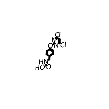 O=C(O)NCc1ccc(Oc2nc(Cl)cc(Cl)n2)cc1